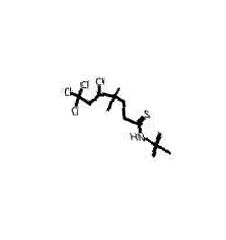 CC(C)(C)NC(=S)CCC(C)(C)C(Cl)CC(Cl)(Cl)Cl